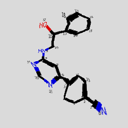 N#Cc1ccc(-c2cc(NCC(O)c3ccccc3)ncn2)cc1